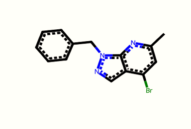 Cc1cc(Br)c2cnn(Cc3ccccc3)c2n1